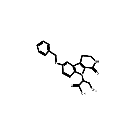 CCC(C(=O)O)n1c2c(c3cc(OCc4ccccc4)ccc31)CCNC2=O